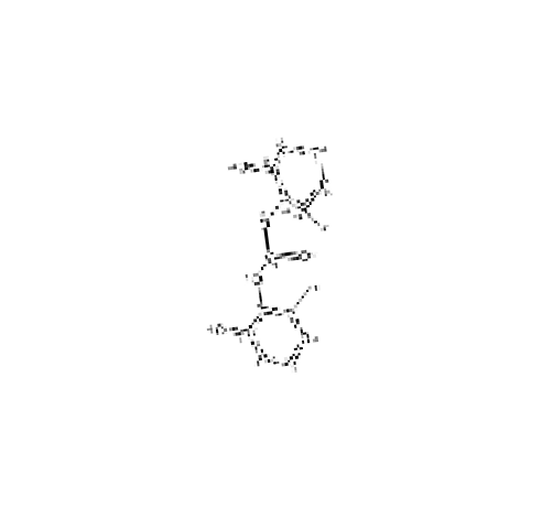 Cc1occc(=O)c1[O][V](=[O])[O]c1c(C)occc1=O